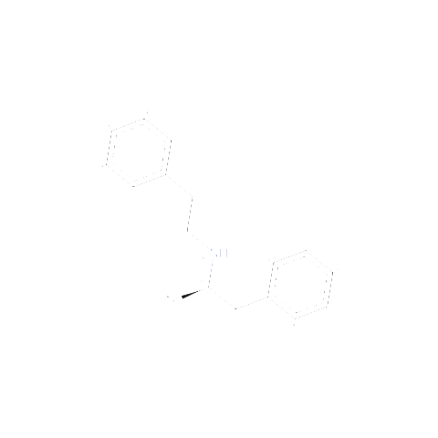 CC(=O)[C@H](Cc1ccccc1)NCCc1ccccc1